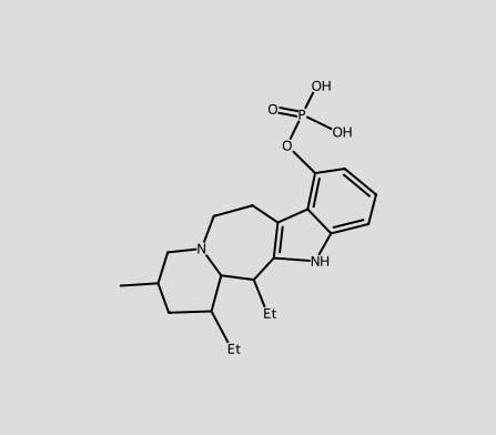 CCC1CC(C)CN2CCc3c([nH]c4cccc(OP(=O)(O)O)c34)C(CC)C12